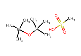 CS(=O)(=O)O.C[Si](C)(C)O[Si](C)(C)C